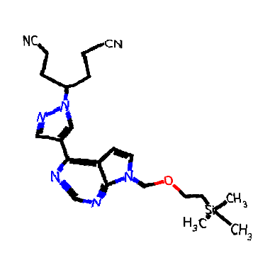 C[Si](C)(C)CCOCn1ccc2c(-c3cnn(C(CCC#N)CCC#N)c3)ncnc21